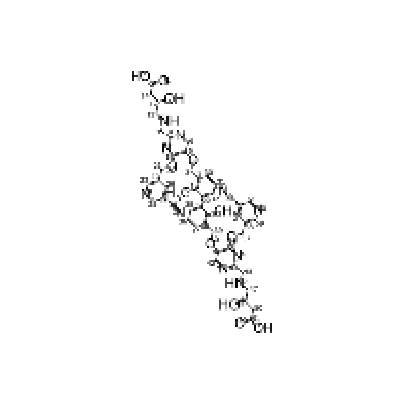 Cc1c(COc2cnc(CNCC(O)CC(=O)O)nc2OCc2cncc(C#N)c2)cccc1-c1cccc(COc2cnc(CNC[C@@H](O)CC(=O)O)nc2OCc2cncc(C#N)c2)c1C